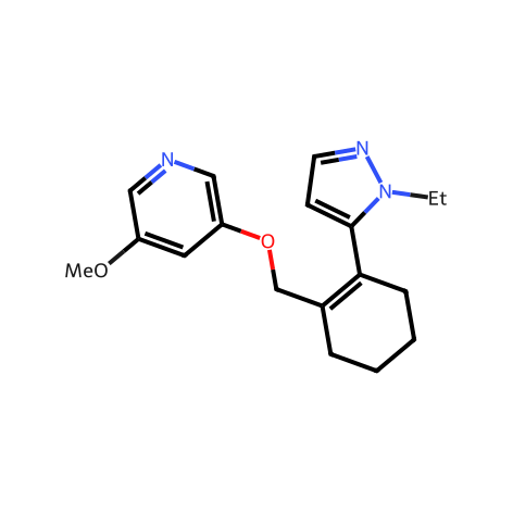 CCn1nccc1C1=C(COc2cncc(OC)c2)CCCC1